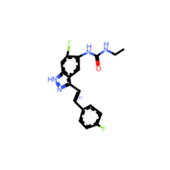 CCNC(=O)Nc1cc2c(/C=C/c3ccc(F)cc3)n[nH]c2cc1F